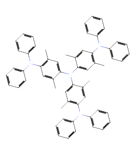 Cc1cc(N(c2cc(C)c(N(c3ccccc3)c3ccccc3)cc2C)c2cc(C)c(N(c3ccccc3)c3ccccc3)cc2C)c(C)cc1N(c1ccccc1)c1ccccc1